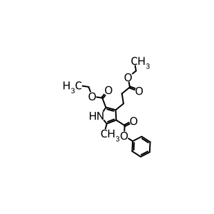 CCOC(=O)CCc1c(C(=O)OCC)[nH]c(C)c1C(=O)Oc1ccccc1